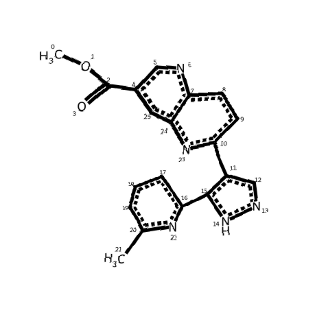 COC(=O)c1cnc2ccc(-c3cn[nH]c3-c3cccc(C)n3)nc2c1